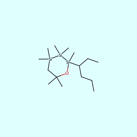 CCCC(CC)[Si]1(C)OC(C)(C)C[Si](C)(C)[Si]1(C)C